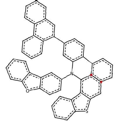 c1ccc(-c2ccc(-c3cc4ccccc4c4ccccc34)cc2N(c2ccc3oc4ccccc4c3c2)c2cccc3sc4ccccc4c23)cc1